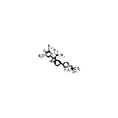 Cc1nc(-c2[nH]c3ccc(C4CCN(CC(C)(C)O)CC4)cc3c2C(C)C)cn(C)c1=O